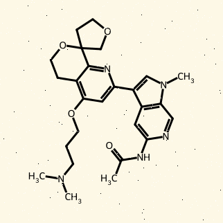 CC(=O)Nc1cc2c(-c3cc(OCCCN(C)C)c4c(n3)C3(CCOC3)OCC4)cn(C)c2cn1